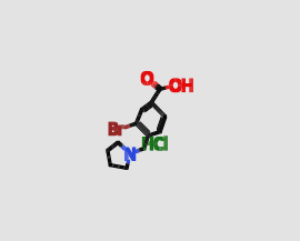 Cl.O=C(O)c1ccc(CN2CCCC2)c(Br)c1